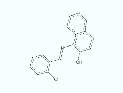 Oc1ccc2ccccc2c1N=Nc1ccccc1Cl